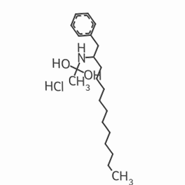 CCCCCCCCCCCC(Cc1ccccc1)NC(C)(O)O.Cl